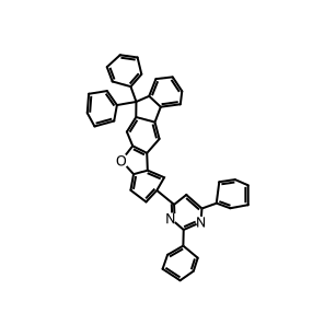 c1ccc(-c2cc(-c3ccc4oc5cc6c(cc5c4c3)-c3ccccc3C6(c3ccccc3)c3ccccc3)nc(-c3ccccc3)n2)cc1